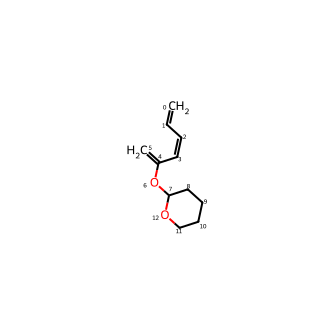 C=C/C=C\C(=C)OC1CCCCO1